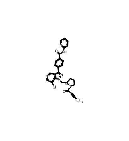 CC#CC(=O)N1CCC[C@@H]1Cn1nc(-c2ccc(C(=O)Nc3ccccn3)cc2)c2cncc(Cl)c21